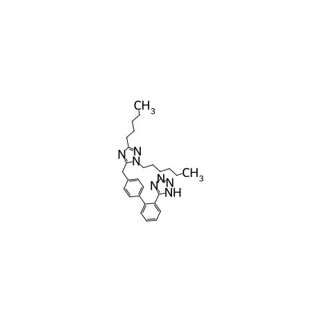 CCCCCCn1nc(CCCCC)nc1Cc1ccc(-c2ccccc2-c2nnn[nH]2)cc1